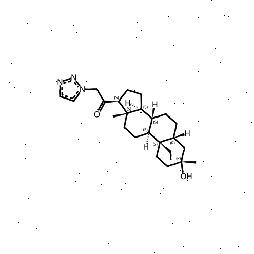 CC[C@]12CC[C@@](C)(O)C[C@H]1CC[C@H]1[C@@H]3CC[C@H](C(=O)Cn4ccnn4)[C@@]3(C)CC[C@@H]12